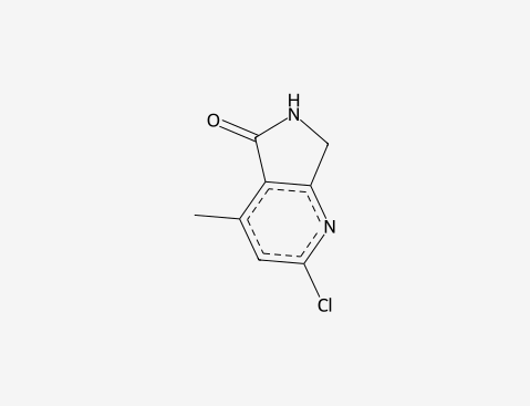 Cc1cc(Cl)nc2c1C(=O)NC2